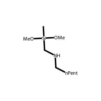 CCCCCCNC[Si](C)(OC)OC